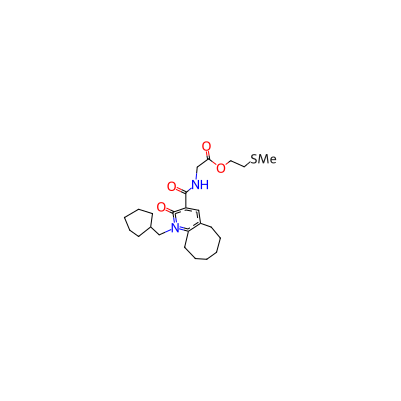 CSCCOC(=O)CNC(=O)c1cc2c(n(CC3CCCCC3)c1=O)CCCCCC2